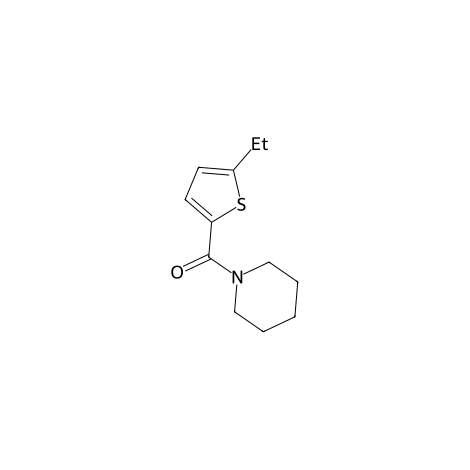 CCc1ccc(C(=O)N2CCCCC2)s1